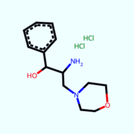 Cl.Cl.NC(CN1CCOCC1)C(O)c1ccccc1